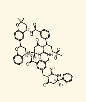 CCC1(CC)CC(=O)N(C(CCS(C)(=O)=O)c2cccc(C(=O)N[C@H]3CC(C)(C)Oc4ccc(C5C[C@H](NC(=O)c6cc(F)cc(CN7C(=N)N[C@@](CC)(c8ccccc8)CC7=O)c6)c6ccccc6O5)cc43)c2)C(=N)N1